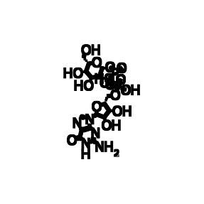 Nc1nc2c(ncn2C2O[C@H](COP(=O)(O)OP(=O)(O)O[C@H]3O[C@@H](CO)[C@@H](O)[C@H](O)[C@@H]3O)[C@@H](O)[C@H]2O)c(=O)[nH]1